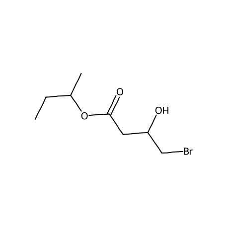 CCC(C)OC(=O)CC(O)CBr